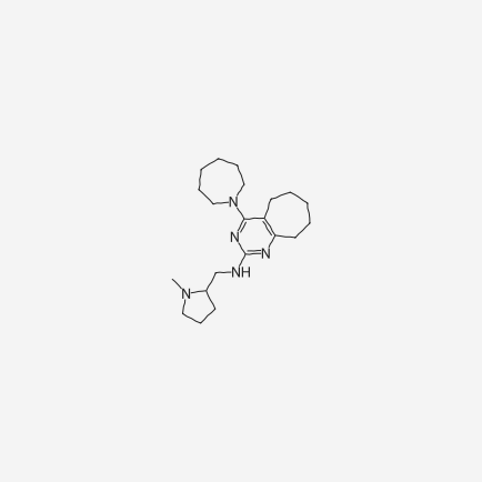 CN1CCCC1CNc1nc2c(c(N3CCCCCC3)n1)CCCCC2